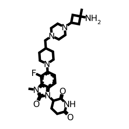 Cn1c(=O)n(C2CCC(=O)NC2=O)c2ccc(N3CCC(CN4CCN(C5CC(C)(N)C5)CC4)CC3)c(F)c21